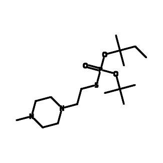 CCC(C)(C)OP(=O)(OC(C)(C)C)SCCN1CCN(C)CC1